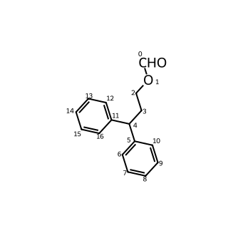 O=COCCC(c1ccccc1)c1ccccc1